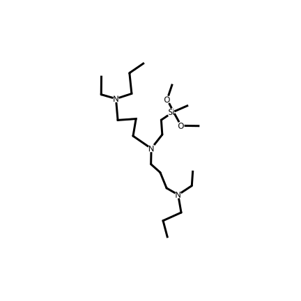 CCCN(CC)CCCN(CCCN(CC)CCC)CC[Si](C)(OC)OC